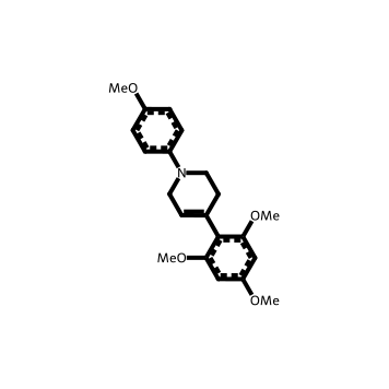 COc1ccc(N2CC=C(c3c(OC)cc(OC)cc3OC)CC2)cc1